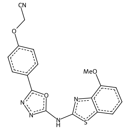 COc1cccc2sc(Nc3nnc(-c4ccc(OCC#N)cc4)o3)nc12